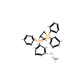 [Cl-].[Cl-].[Ni+2].c1ccc([PH]2(c3ccccc3)CC3C2[PH]3(c2ccccc2)c2ccccc2)cc1